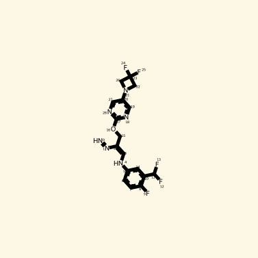 N=N/C(=C\Nc1ccc(F)c(C(F)F)c1)COc1ncc(N2CC(F)(F)C2)cn1